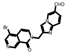 O=Cc1ccc2nc(Cn3ccc4c(Br)cncc4c3=O)cn2c1